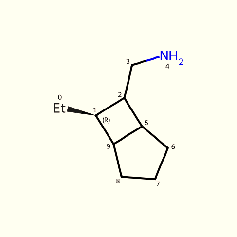 CC[C@H]1C(CN)C2CCCC21